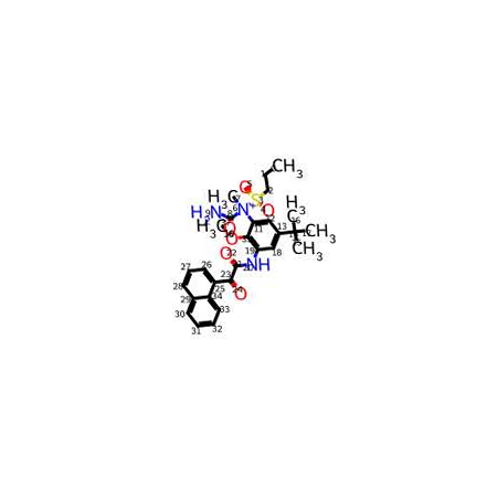 CCCS(=O)(=O)[N+](C)(C(N)=O)c1cc(C(C)(C)C)cc(NC(=O)C(=O)c2cccc3ccccc23)c1OC